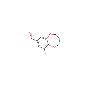 O=Cc1cc(F)c2c(c1)OCCCO2